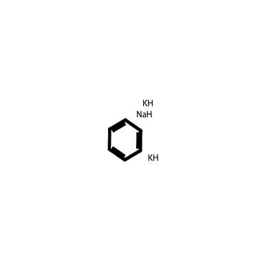 [KH].[KH].[NaH].c1ccccc1